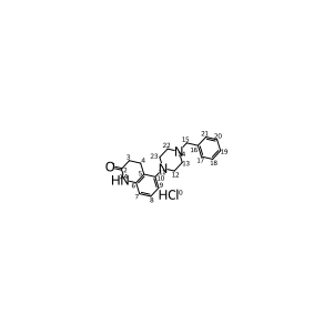 Cl.O=C1CCc2c(cccc2N2CCN(Cc3ccccc3)CC2)N1